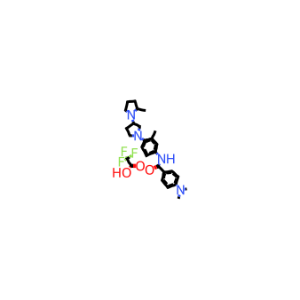 Cc1cc(NC(=O)c2ccc(N(C)C)cc2)ccc1N1CCC(N2CCCC2C)C1.O=C(O)C(F)(F)F